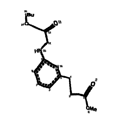 COC(=O)CCc1cccc(NCC(=O)OC(C)(C)C)n1